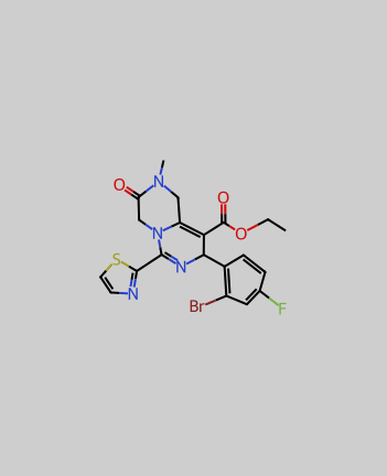 CCOC(=O)C1=C2CN(C)C(=O)CN2C(c2nccs2)=NC1c1ccc(F)cc1Br